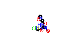 COCCN1C[C@H](NC(=O)c2ccc(-n3ccccc3=O)cc2)[C@H](NC(=O)c2ccc(Cl)s2)C1